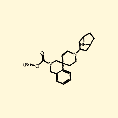 CC(C)(C)OC(=O)N1Cc2ccccc2C2(CCN(C3CC4CCC(C3)N4)CC2)C1